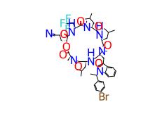 CC(C)C[C@@H]1NC(=O)[C@H](Cc2cn(C(C)c3ccc(Br)cc3)c3ccccc23)N(C)C(=O)[C@H](CC(C)C)NC(=O)[C@H](CC(C)C)N(C)C(=O)[C@H](CC(F)(F)F)NC(=O)[C@@H](CCC#N)OC(=O)[C@H](C)N(C)C1=O